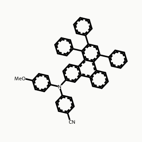 COc1ccc(N(c2ccc(C#N)cc2)c2ccc3c(c2)c2ccccc2c2c(-c4ccccc4)cc(-c4ccccc4)c(-c4ccccc4)c32)cc1